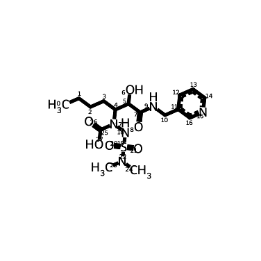 CCCCC(C(O)C(=O)NCc1cccnc1)N(NS(=O)(=O)N(C)C)C(=O)O